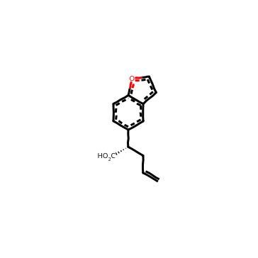 C=CC[C@H](C(=O)O)c1ccc2occc2c1